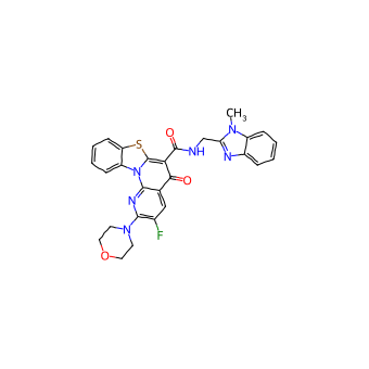 Cn1c(CNC(=O)c2c(=O)c3cc(F)c(N4CCOCC4)nc3n3c2sc2ccccc23)nc2ccccc21